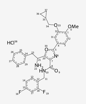 COc1ccc(-c2nc(C(=O)NCc3ccc(F)cc3F)c(C(N)Cc3ccccc3)o2)cc1OCC1CC1.Cl